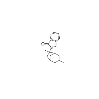 CC1CC2CC(C1)C(C)(N1Cc3ccccc3C1=O)C2